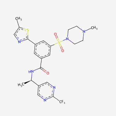 Cc1cnc(-c2cc(C(=O)N[C@H](C)c3cnc(C(F)(F)F)nc3)cc(S(=O)(=O)N3CCN(C)CC3)c2)s1